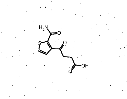 NC(=O)c1sccc1C(=O)CCC(=O)O